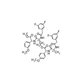 COC(=O)C(NC(=O)[C@H](C)NC(=O)Cc1cc(F)cc(F)c1)c1ccc(OC)cc1.COC(=O)C(NC(=O)[C@H](C)NC(=O)Cc1cc(F)cc(F)c1)c1cccc(OC)c1